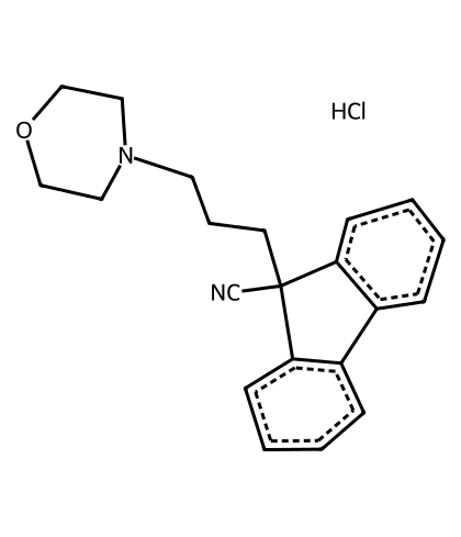 Cl.N#CC1(CCCN2CCOCC2)c2ccccc2-c2ccccc21